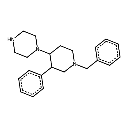 c1ccc(CN2CCC(N3CCNCC3)C(c3ccccc3)C2)cc1